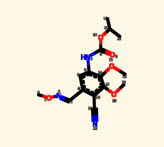 CON=Cc1cc(NC(=O)OC(C)C)c(OC)c(OC)c1C#N